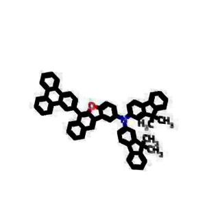 CC1(C)c2ccccc2-c2ccc(N(c3ccc4c(c3)C(C)(C)c3ccccc3-4)c3ccc4oc5c(-c6ccc7c8ccccc8c8ccccc8c7c6)c6ccccc6cc5c4c3)cc21